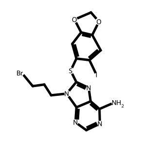 Nc1ncnc2c1nc(Sc1cc3c(cc1I)OCO3)n2CCCBr